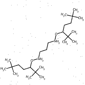 CC(C)(C)CCC(O[SiH2]CCC[SiH2]OC(CCC(C)(C)C)C(C)(C)C)C(C)(C)C